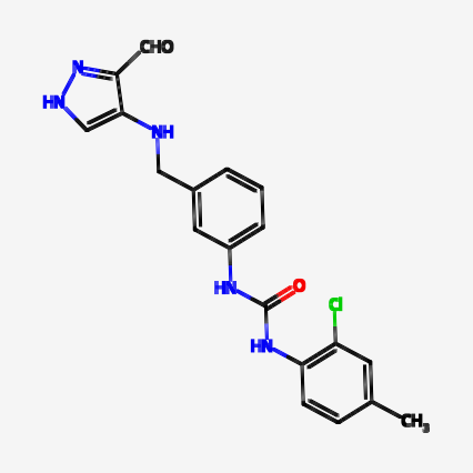 Cc1ccc(NC(=O)Nc2cccc(CNc3c[nH]nc3C=O)c2)c(Cl)c1